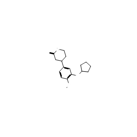 COc1ccc(C2CCNC(=O)C2)cc1OC1CCCC1